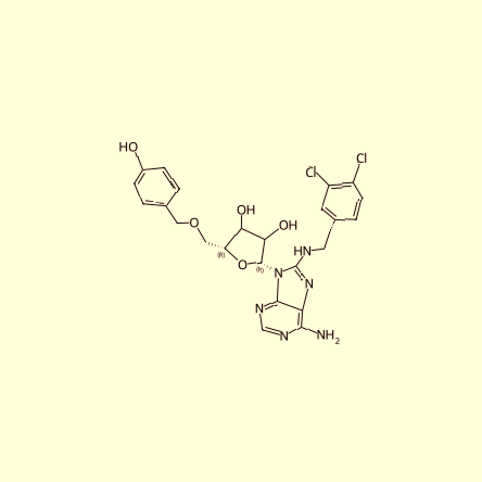 Nc1ncnc2c1nc(NCc1ccc(Cl)c(Cl)c1)n2[C@@H]1O[C@H](COCc2ccc(O)cc2)C(O)C1O